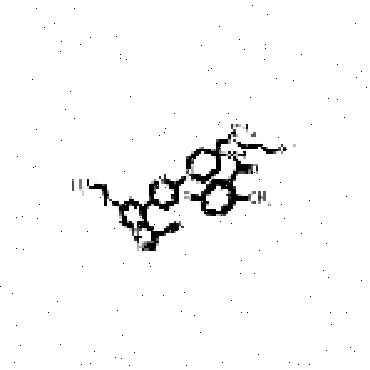 CCOc1cc(-c2ccc(N3CCC(CN(C)CCCO)(NC(=O)c4cc(F)ccc4C)CC3)nc2)c2c(C#N)cnn2c1